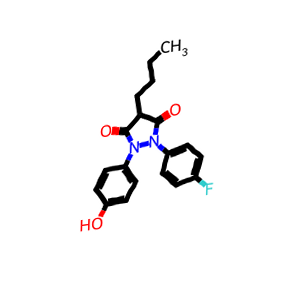 CCCCC1C(=O)N(c2ccc(O)cc2)N(c2ccc(F)cc2)C1=O